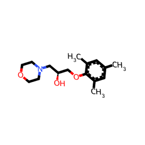 Cc1cc(C)c(OC[C@@H](O)CN2CCOCC2)c(C)c1